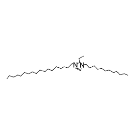 CCCCCCCCCCCCCCCCCCN1C=CN(CCCCCCCCCCCC)C1CC